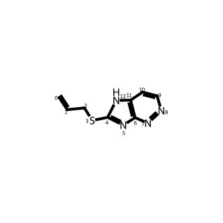 C=CCSc1nc2nnccc2[nH]1